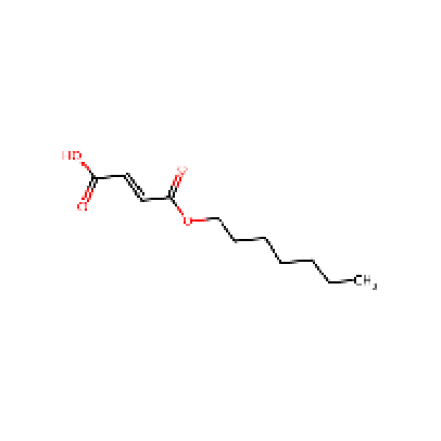 CCCCCCCOC(=O)/C=C/C(=O)O